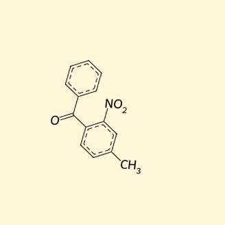 Cc1ccc(C(=O)c2ccccc2)c([N+](=O)[O-])c1